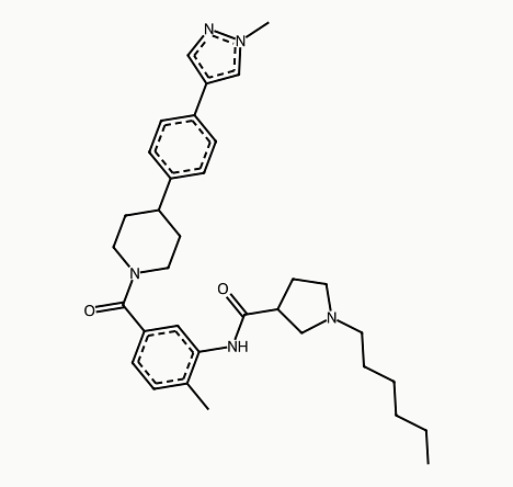 CCCCCCN1CCC(C(=O)Nc2cc(C(=O)N3CCC(c4ccc(-c5cnn(C)c5)cc4)CC3)ccc2C)C1